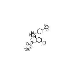 CC(C)(C)OC(=O)N1Cc2cc(Cl)ccc2-n2c(nnc2C2CCC(c3ncco3)CC2)C1